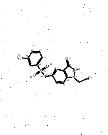 CC(C)Cn1[nH]c(=O)c2cc(NS(=O)(=O)c3cccc(C#N)c3)ccc21